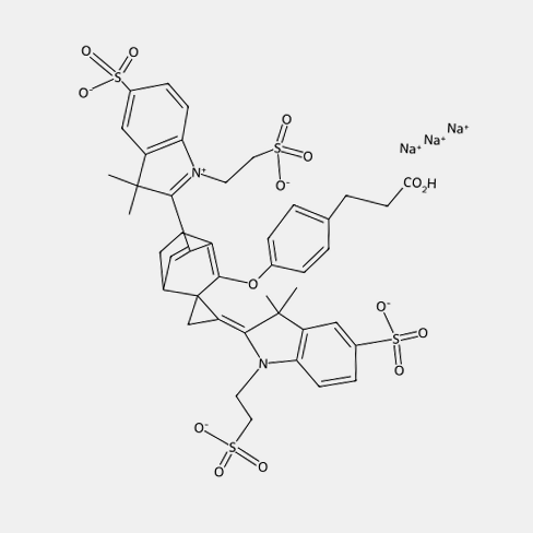 CC1(C)C(=C2CC23C(Oc2ccc(CCC(=O)O)cc2)=C2CCC3C=C2C2=[N+](CCS(=O)(=O)[O-])c3ccc(S(=O)(=O)[O-])cc3C2(C)C)N(CCS(=O)(=O)[O-])c2ccc(S(=O)(=O)[O-])cc21.[Na+].[Na+].[Na+]